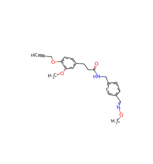 C#CCOc1ccc(CCC(=O)NCc2ccc(C=NOC)cc2)cc1OC